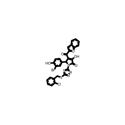 O=C(C1=C(O)C(=O)N(c2nnc(SCc3ccccc3Cl)s2)C1c1ccc(O)c(Br)c1)c1cc2ccccc2o1